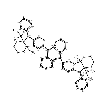 CC(C)(C)C12CCCCC1(C)c1cc(-c3c4ccccc4c(-c4ccc5c(c4)C4(C)CCCCC4(C(C)(C)C)N5c4ccccc4)c4ccccc34)ccc1N2c1ccccc1